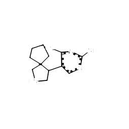 Nc1ncc(C2CNCC23CCCC3)c(N)n1